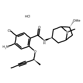 CC#C[C@H](C)Oc1cc(N)c(Cl)cc1C(=O)N[C@@H]1CC2C[C@@H](OC)C(C1)N2C.Cl